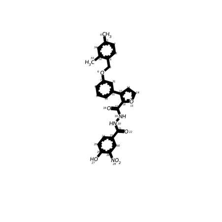 Cc1ccc(COc2cccc(-c3ccoc3C(=O)NNC(=O)c3ccc(O)c([N+](=O)[O-])c3)c2)c(C)c1